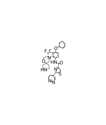 O=C(Nc1ccc(Oc2ccccc2)c(C(F)(F)F)c1N1CCOC2(CCNCC2)C1)c1csc(-c2ccnnc2)n1